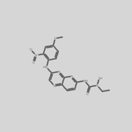 CCN(S)C(=O)Nc1ccc2ncc(Nc3ccc(OC)cc3[N+](=O)[O-])nc2n1